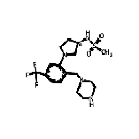 CS(=O)(=O)N[C@@H]1CCN(c2cc(C(F)(F)F)ccc2CN2CCNCC2)C1